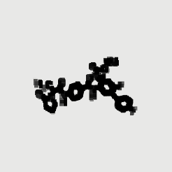 CC(C(=O)Nc1ccc(C(=O)Nc2cc(-c3ccc(F)cc3)c(F)cc2NC(=O)OC(C)(C)C)cc1)N1CCCC1=O